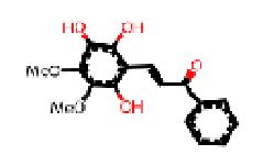 COc1c(O)c(O)c(C=CC(=O)c2ccccc2)c(O)c1OC